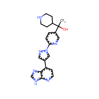 OC(c1ccc(-n2cc(-c3ccnc4[nH]cnc34)cn2)nc1)(C1CCNCC1)C(F)(F)F